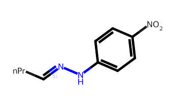 CCC/C=N/Nc1ccc([N+](=O)[O-])cc1